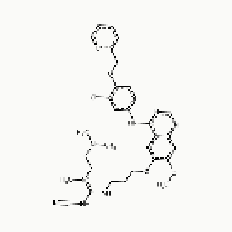 COc1cc2ncnc(Nc3ccc(OCc4ccccn4)c(Cl)c3)c2cc1OCCCNC(NC#N)=[N+](C)CCN(C)C